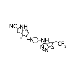 N#Cc1cc2c(F)c(CN3CCC(Nc4ncnc5sc(CC(F)(F)F)cc45)CC3)ccc2[nH]1